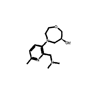 Cc1ccc(N2CCOC[C@@H](O)C2)c(CN(C)C)n1